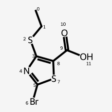 CCSc1nc(Br)sc1C(=O)O